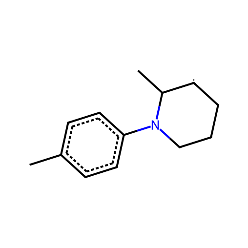 Cc1ccc(N2CCC[CH]C2C)cc1